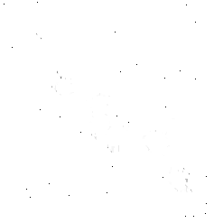 CC(Oc1c(N)ncc2c(-c3cnn(C4CCNCC4)c3)coc12)c1cc(F)cc(-c2ccn[nH]2)c1